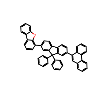 c1ccc(C2(c3ccccc3)c3cc(-c4cc5ccccc5c5ccccc45)ccc3-c3ccc(-c4cccc5c4oc4ccccc45)cc32)cc1